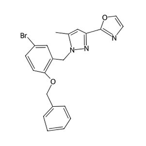 Cc1cc(-c2ncco2)nn1Cc1cc(Br)ccc1OCc1ccccc1